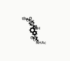 CC(=O)NCC1CN(c2ccc3c(c2)CCCc2c(N4CCN(C(=O)OC(C)(C)C)CC4)n[nH]c2-3)C(=O)O1